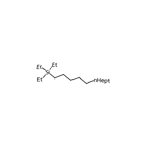 CCCCCCCCCCC[CH][Si](CC)(CC)CC